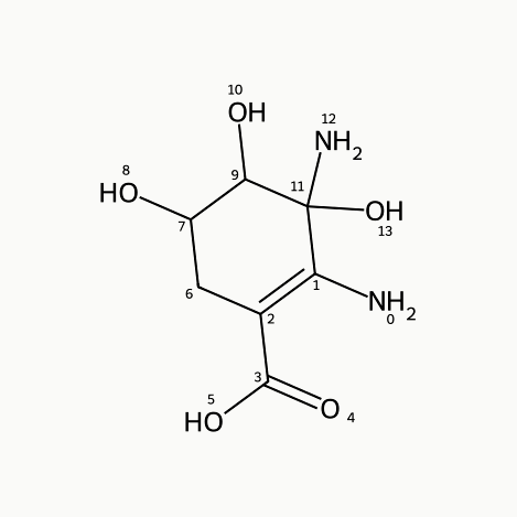 NC1=C(C(=O)O)CC(O)C(O)C1(N)O